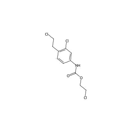 O=C(Nc1c[c]c(CCCl)c(Cl)c1)OCCCl